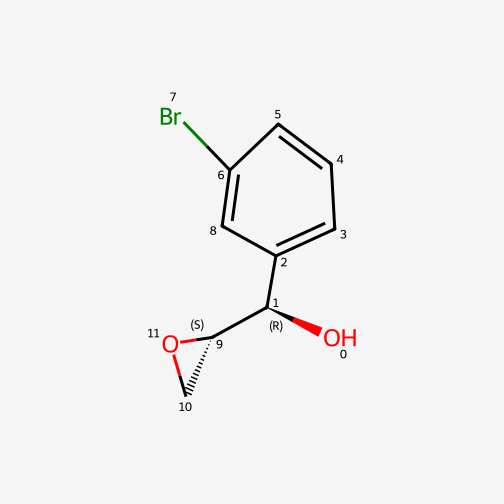 O[C@H](c1cccc(Br)c1)[C@@H]1CO1